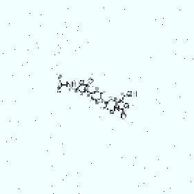 CC(=O)NC[C@H]1CN(c2ccc(C3=CCn4c(c(CO)oc4=O)C3)cc2)C(=O)O1